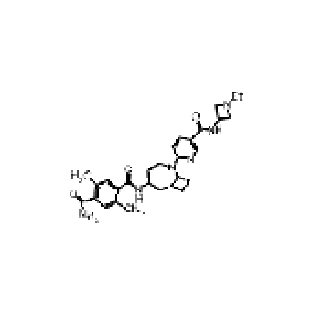 CCN1CC(NC(=O)c2ccc(N3CCC(NC(=O)c4cc(C)c(C(N)=O)cc4C)CC4CCC43)nc2)C1